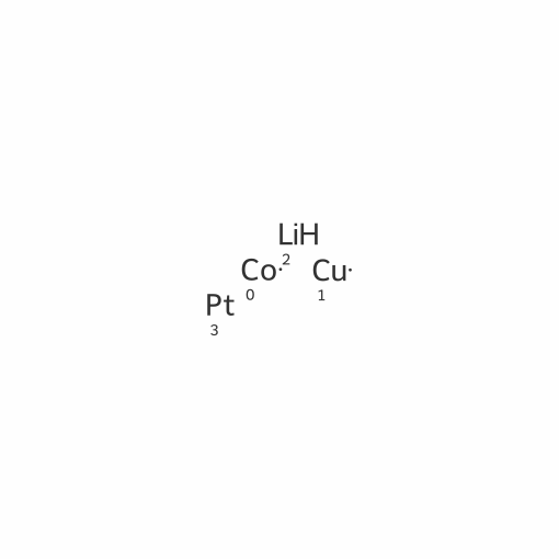 [Co].[Cu].[LiH].[Pt]